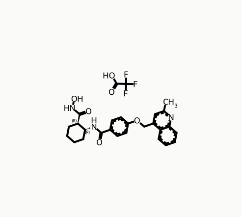 Cc1cc(COc2ccc(C(=O)N[C@@H]3CCCC[C@H]3C(=O)NO)cc2)c2ccccc2n1.O=C(O)C(F)(F)F